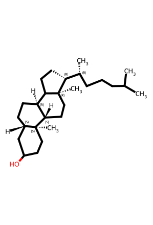 CC(C)CCC[C@@H](C)[C@H]1CCC2[C@@H]3CC[C@H]4CC(O)CC[C@]4(C)[C@H]3CC[C@@]21C